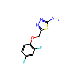 Nc1nnc(COc2ccc(F)cc2F)s1